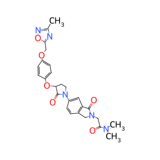 Cc1noc(COc2ccc(OC3CCN(c4ccc5c(c4)C(=O)N(CC(=O)N(C)C)C5)C3=O)cc2)n1